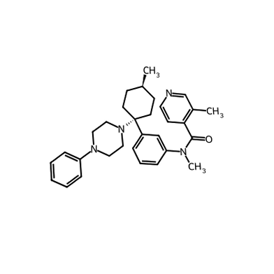 Cc1cnccc1C(=O)N(C)c1cccc([C@]2(N3CCN(c4ccccc4)CC3)CC[C@H](C)CC2)c1